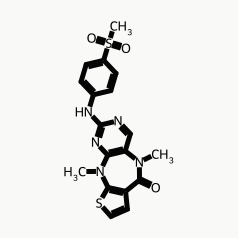 CN1C(=O)c2ccsc2N(C)c2nc(Nc3ccc(S(C)(=O)=O)cc3)ncc21